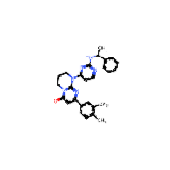 Cc1ccc(-c2cc(=O)n3c(n2)N(c2ccnc(N[C@@H](C)c4ccccc4)n2)CCC3)cc1C